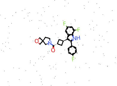 O=C([C@H]1C[C@H](c2c(-c3ccc(F)cc3)[nH]c3c(F)cc(F)cc32)C1)N1CCC2(COC2)C1